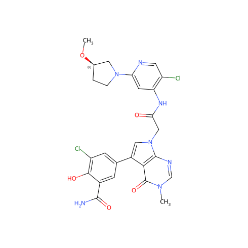 CO[C@@H]1CCN(c2cc(NC(=O)Cn3cc(-c4cc(Cl)c(O)c(C(N)=O)c4)c4c(=O)n(C)cnc43)c(Cl)cn2)C1